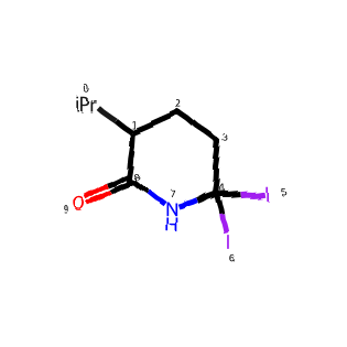 CC(C)C1CCC(I)(I)NC1=O